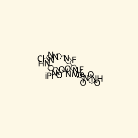 CNC(=O)COc1cc2cc(Nc3nc(N4CCC(CN5CCC(C6CCN(c7ccc8c(c7F)CN(C7CCC(=O)NC7=O)C8=O)CC6)C(F)C5)CC4)ncc3Cl)ccc2n(C(C)C)c1=O